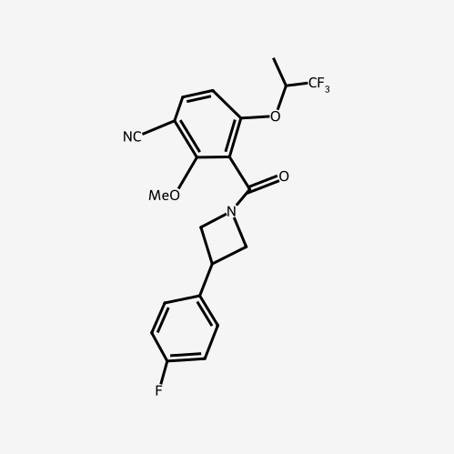 COc1c(C#N)ccc(OC(C)C(F)(F)F)c1C(=O)N1CC(c2ccc(F)cc2)C1